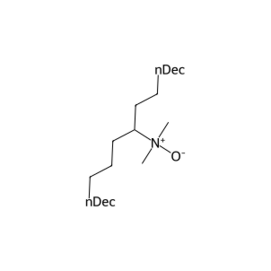 CCCCCCCCCCCCCC(CCCCCCCCCCCC)[N+](C)(C)[O-]